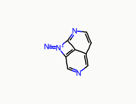 [N-]=[n+]1c2cncc3ccnc1c32